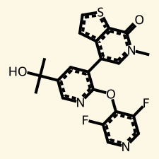 Cn1cc(-c2cc(C(C)(C)O)cnc2Oc2c(F)cncc2F)c2ccsc2c1=O